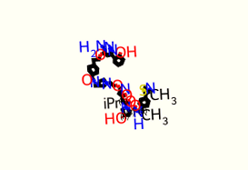 Cc1ncsc1-c1ccc([C@H](C)NC(=O)[C@@H]2C[C@@H](O)CN2C(=O)[C@@H](c2cc(OCCN3CC4CN(C(=O)c5ccc(CCOc6cc(-c7ccccc7O)nnc6N)cc5)C4C3)no2)C(C)C)cc1